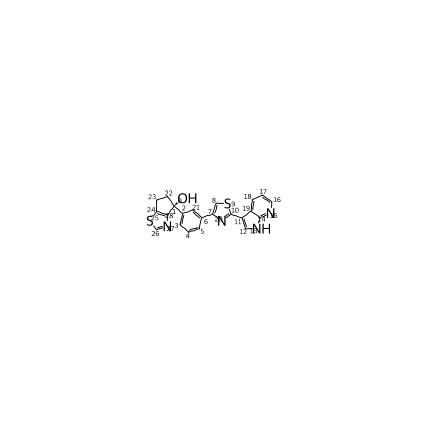 O[C@]1(c2cccc(-c3csc(-c4c[nH]c5ncccc45)n3)c2)CCc2scnc21